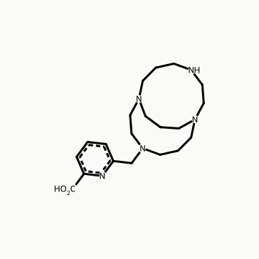 O=C(O)c1cccc(CN2CCCN3CCCN(CCCNCC3)CC2)n1